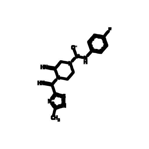 Cc1nsc(C(=N)N2CCN([S+]([O-])Nc3ccc(F)cc3)CC2=N)n1